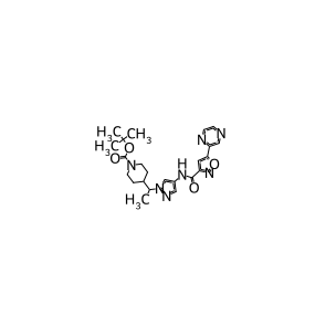 CC(C1CCN(C(=O)OC(C)(C)C)CC1)n1cc(NC(=O)c2cc(-c3cnccn3)on2)cn1